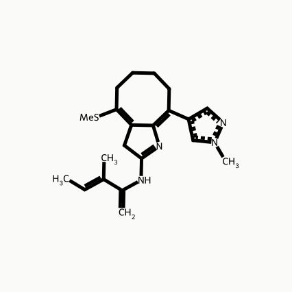 C=C(NC1=NC2=C(\c3cnn(C)c3)CCCC/C(SC)=C\2C1)/C(C)=C/C